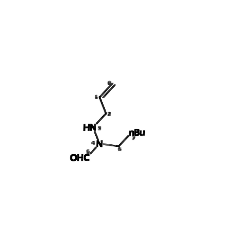 C=CCNN(C=O)CCCCC